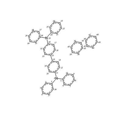 c1ccc(N(c2ccccc2)c2ccc(-c3ccc(N(c4ccccc4)c4ccccc4)cc3)cc2)cc1.c1ccccc1.c1ccccc1